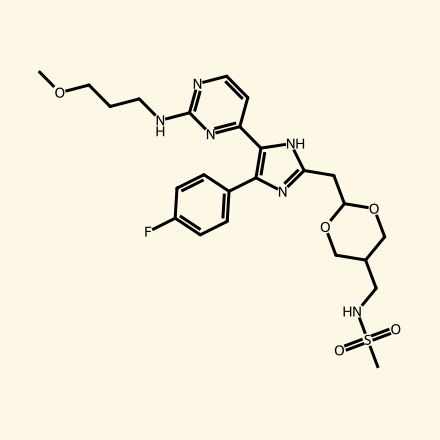 COCCCNc1nccc(-c2[nH]c(CC3OCC(CNS(C)(=O)=O)CO3)nc2-c2ccc(F)cc2)n1